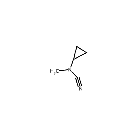 CN(C#N)C1CC1